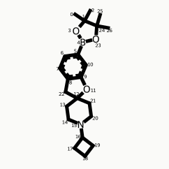 CC1(C)OB(c2ccc3c(c2)OC2(CCN(C4CCC4)CC2)C3)OC1(C)C